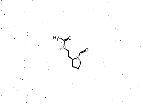 CC(=O)NCCC1CCCN1[C]=O